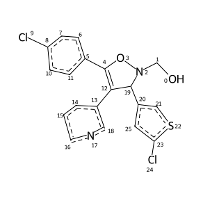 OCN1OC(c2ccc(Cl)cc2)=C(c2cccnc2)C1c1csc(Cl)c1